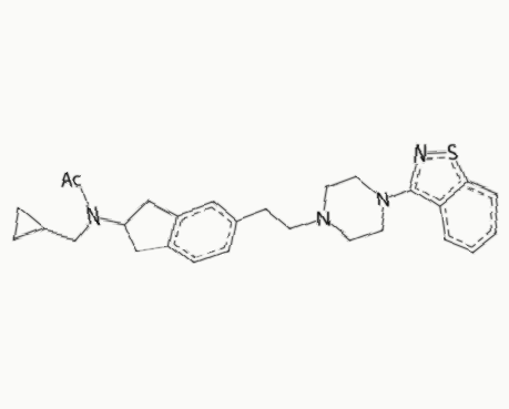 CC(=O)N(CC1CC1)C1Cc2ccc(CCN3CCN(c4nsc5ccccc45)CC3)cc2C1